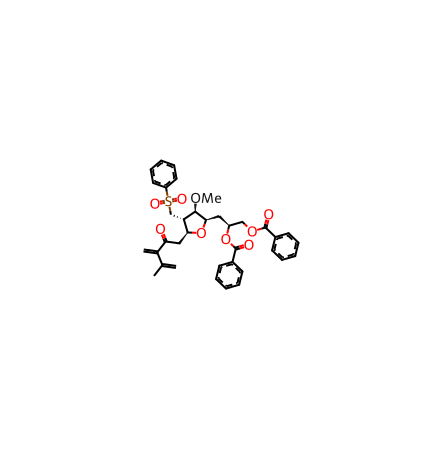 C=C(C)C(=C)C(=O)C[C@@H]1O[C@H](C[C@@H](COC(=O)c2ccccc2)OC(=O)c2ccccc2)[C@H](OC)[C@H]1CS(=O)(=O)c1ccccc1